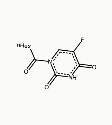 CCCCCCC(=O)n1cc(F)c(=O)[nH]c1=O